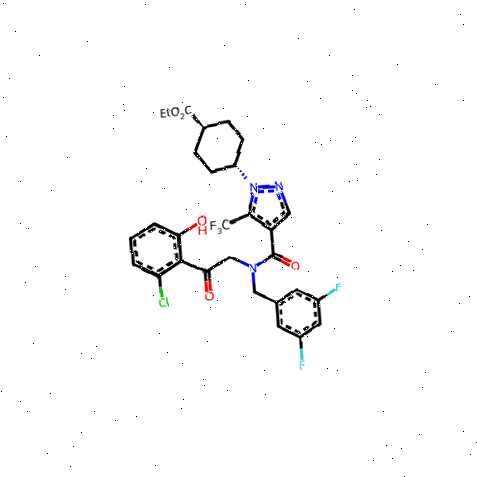 CCOC(=O)[C@H]1CC[C@H](n2ncc(C(=O)N(CC(=O)c3c(O)cccc3Cl)Cc3cc(F)cc(F)c3)c2C(F)(F)F)CC1